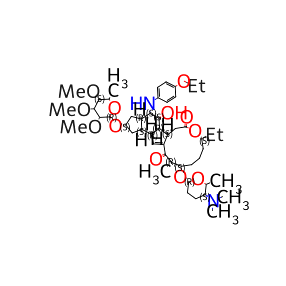 CCOc1ccc(N[C@@H]2[C@@H](O)[C@@H]3[C@@H](C=C4C(=O)[C@H](C)[C@@H](O[C@H]5CC[C@H](N(C)C)C(C)O5)CCC[C@H](CC)OC(=O)C[C@H]43)[C@@H]3C[C@H](O[C@@H]4OC(C)[C@H](OC)C(OC)C4OC)C[C@H]32)cc1